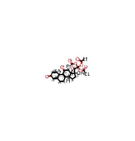 CCC(=O)OC(OC(=O)CC)(OC(=O)CC)C(=O)[C@@]1(OC(C)=O)CC[C@H]2C3=C(C(=O)C[C@@]21C)[C@@]1(C)C=CC(=O)C=C1CC3